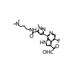 CN(C)CCCNC(=O)c1cc(-c2ncc(F)c3c(C(=O)C=O)c[nH]c23)nn1C